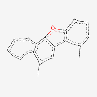 Cc1cc2c(oc3cccc(C)c32)c2ccccc12